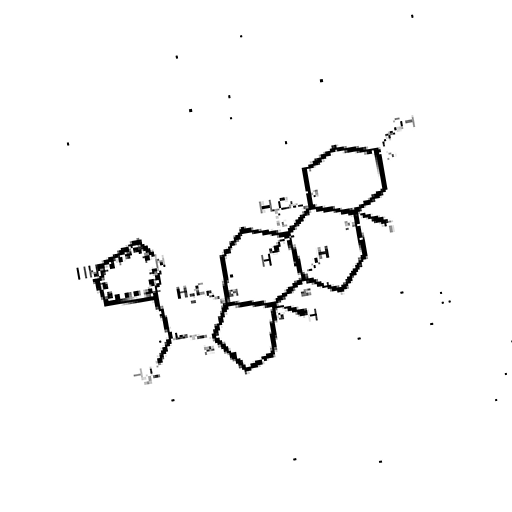 CC(c1c[nH]cn1)[C@H]1CC[C@H]2[C@@H]3CC[C@H]4C[C@@H](O)CC[C@]4(C)[C@H]3CC[C@]12C